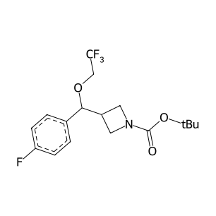 CC(C)(C)OC(=O)N1CC(C(OCC(F)(F)F)c2ccc(F)cc2)C1